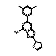 Cc1cc(C)cc(-c2cc3nc(C4CC=CO4)nn3c(N)n2)c1